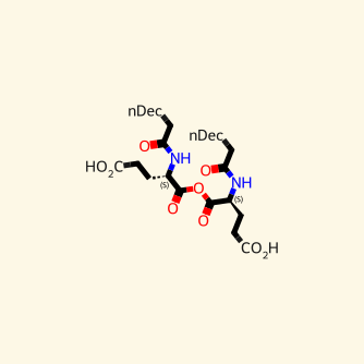 CCCCCCCCCCCC(=O)N[C@@H](CCC(=O)O)C(=O)OC(=O)[C@H](CCC(=O)O)NC(=O)CCCCCCCCCCC